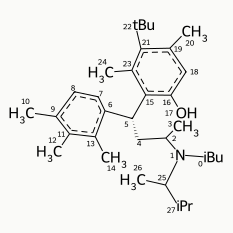 CCC(C)N(C(C)C[C@H](c1ccc(C)c(C)c1C)c1c(O)cc(C)c(C(C)(C)C)c1C)C(C)C(C)C